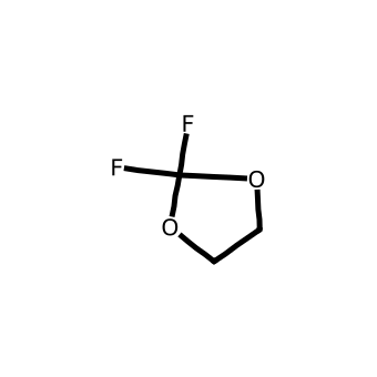 FC1(F)OCCO1